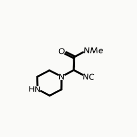 [C-]#[N+]C(C(=O)NC)N1CCNCC1